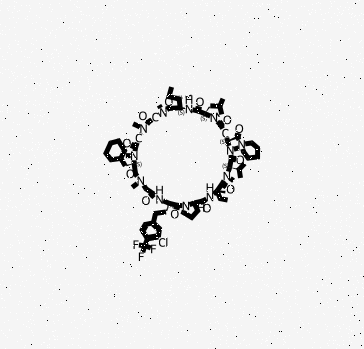 CC[C@H](C)[C@@H]1NC(=O)[C@H](CC(C)C)N(C)C(=O)C[C@@H](C(=O)N2CCCCC2)N(C)C(=O)[C@H](C(C)C)N(C)C(=O)[C@](C)(CC)NC(=O)[C@@H]2CCCN2C(=O)[C@H](CCc2ccc(C(F)(F)F)c(Cl)c2)NC(=O)CN(C)C(=O)[C@H](CC2CCCCC2)N(C)C(=O)CN(C)C(=O)CN(C)C1=O